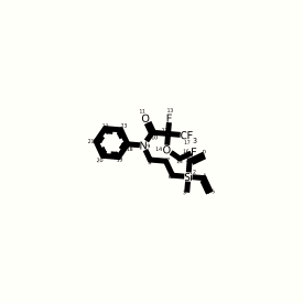 C=C[Si](C)(C=C)CCCN(C(=O)C(F)(OCF)C(F)(F)F)c1ccccc1